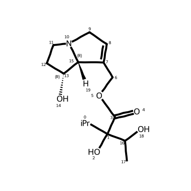 CC(C)C(O)(C(=O)OCC1=CCN2CC[C@@H](O)[C@@H]12)C(C)O